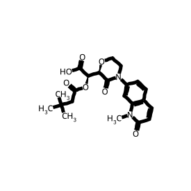 Cn1c(=O)ccc2ccc(N3CCO[C@H]([C@@H](OC(=O)CC(C)(C)C)C(=O)O)C3=O)cc21